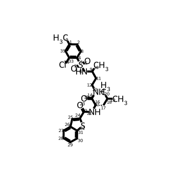 Cc1ccc(S(=O)(=O)NC(C)CCNC(=O)[C@H](CC(C)C)NC(=O)c2cc3ccccc3s2)c(Cl)c1